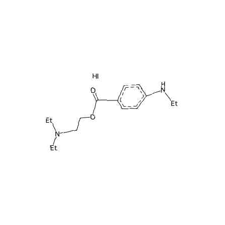 CCNc1ccc(C(=O)OCCN(CC)CC)cc1.I